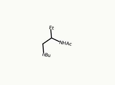 CCCCCC(CC)NC(C)=O